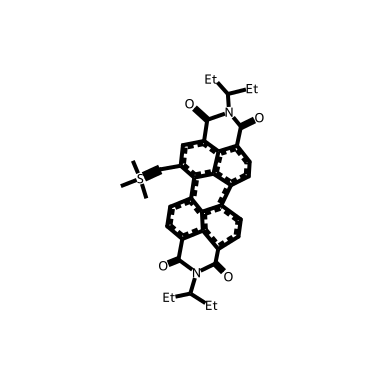 CCC(CC)N1C(=O)c2ccc3c4ccc5c6c(cc(C#S(C)(C)C)c(c7ccc(c2c37)C1=O)c64)C(=O)N(C(CC)CC)C5=O